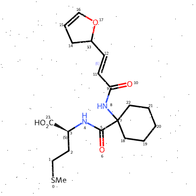 CSCC[C@H](NC(=O)C1(NC(=O)/C=C/C2CC=CO2)CCCCC1)C(=O)O